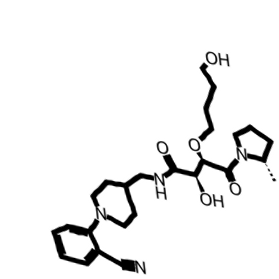 C[C@H]1CCCN1C(=O)[C@H](OCCCCO)[C@@H](O)C(=O)NCC1CCN(c2ccccc2C#N)CC1